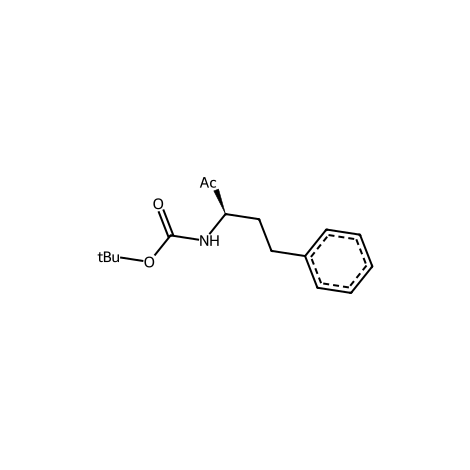 CC(=O)[C@@H](CCc1ccccc1)NC(=O)OC(C)(C)C